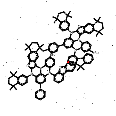 CC(C)(C)c1ccc2c(c1)B1c3c(cc(-c4ccccc4)cc3N2c2cccc3c2oc2ccccc23)N(c2ccc3c(c2)C(C)(C)CCC3(C)C)c2oc3cc4c(cc3c21)C(C)(Cc1ccc(-c2cc3c5c(c2)N(c2ccc6c(c2)C(C)(C)CCC6(C)C)c2oc6cc7c(cc6c2B5c2ccc(C(C)(C)C)cc2N3c2cccc3c2-c2ccccc2C3(C)C)C(C)(C)CCC7(C)C)cc1)CCC4(C)C